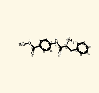 CC(C)(C)OC(=O)c1ccc(NC(=O)[C@@H](N)Cc2ccccc2)cc1